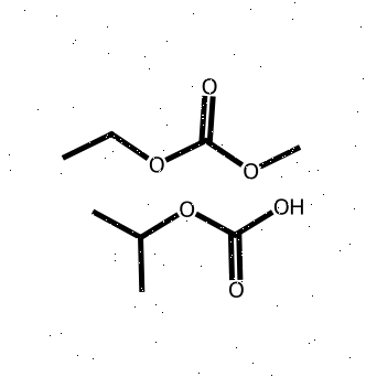 CC(C)OC(=O)O.CCOC(=O)OC